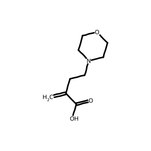 C=C(CCN1CCOCC1)C(=O)O